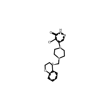 O=c1[nH]ncc(N2CCN(C[C@@H]3CCOc4ccccc43)CC2)c1Cl